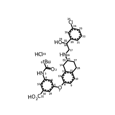 CC(C)(C)C(=O)Nc1cc(Oc2ccc3c(c2)C[C@@H](NC[C@@H](O)c2cccc(Cl)c2)CC3)cc(C(=O)O)c1.Cl